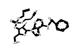 C=CCOP(=O)(OCCC#N)OC1C(CO)OC(n2cnc3c(NC(=O)c4ccccc4)ncnc32)C1F